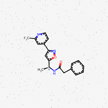 C[C@H](NC(=O)Cc1ccccc1)c1cc(-c2ccnc(C(F)(F)F)c2)no1